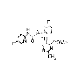 COCc1nc(C)ncc1OC[C@@]1(c2cccc(F)c2)C[C@H]1C(=O)Nc1ccc(F)cn1